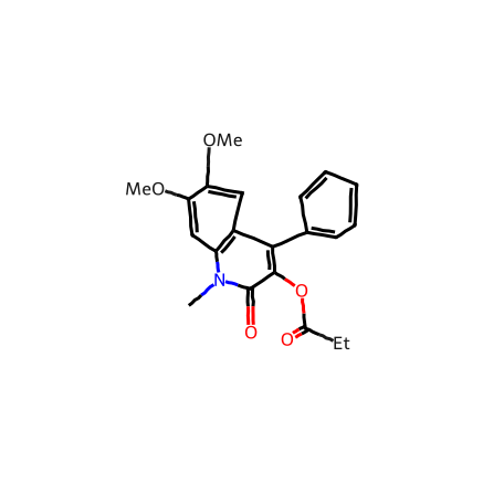 CCC(=O)Oc1c(-c2ccccc2)c2cc(OC)c(OC)cc2n(C)c1=O